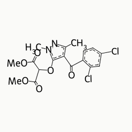 COC(=O)C(Oc1c(C(=O)c2ccc(Cl)cc2Cl)c(C)nn1C)C(=O)OC